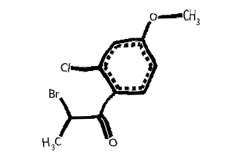 COc1ccc(C(=O)C(C)Br)c(Cl)c1